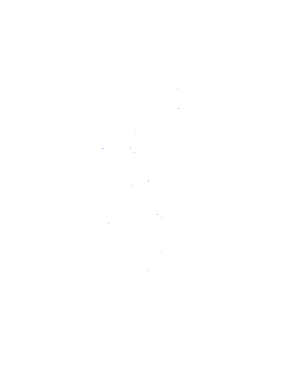 CC(C)Oc1ncc(-c2nc(-c3cccc4c(CCC(=O)OC(C)(C)C)nccc34)no2)cc1Cl